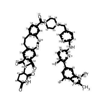 Cc1nc2c(F)cc(-c3nc(Nc4ccc(CN5CCN(C(=O)c6ccc7c(c6)/N=N\c6cc8c(cc6CC7)C(=O)N(C6CCC(=O)NC6=O)C8=O)CC5)cn4)ncc3F)cc2n1C(C)C